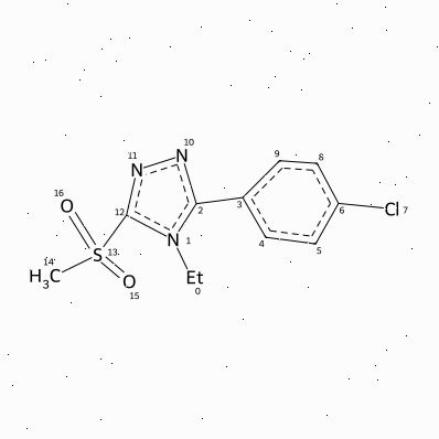 CCn1c(-c2ccc(Cl)cc2)nnc1S(C)(=O)=O